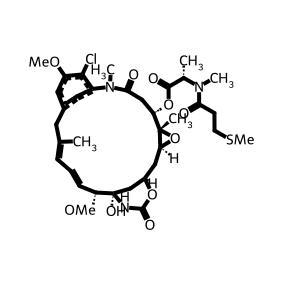 COc1cc2cc(c1Cl)N(C)C(=O)C[C@H](OC(=O)[C@H](C)N(C)C(=O)CCSC)[C@]1(C)O[C@H]1C[C@@H]1C[C@@](O)(NC(=O)O1)[C@H](OC)/C=C/C=C(\C)C2